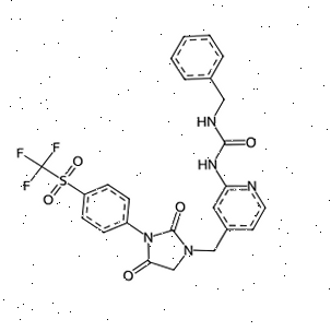 O=C(NCc1ccccc1)Nc1cc(CN2CC(=O)N(c3ccc(S(=O)(=O)C(F)(F)F)cc3)C2=O)ccn1